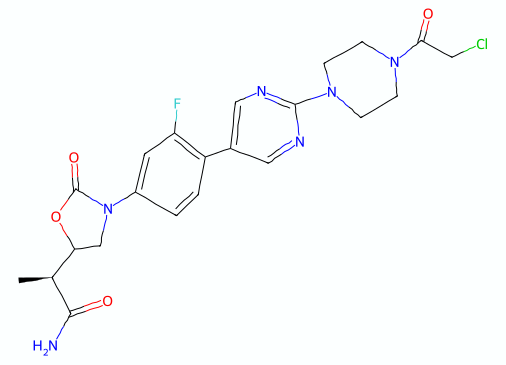 C[C@H](C(N)=O)C1CN(c2ccc(-c3cnc(N4CCN(C(=O)CCl)CC4)nc3)c(F)c2)C(=O)O1